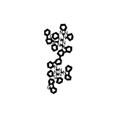 c1ccc([Si](c2ccccc2)(c2ccc3oc4ccccc4c3c2)c2nc(-n3c4ccccc4c4ccccc43)nc(-n3c4ccccc4c4cc(-c5ccc6c(c5)c5ccccc5n6-c5nc(-n6c7ccccc7n7c8ccccc8nc67)nc([Si](c6ccccc6)(c6ccccc6)c6cccc7c6oc6ccccc67)n5)ccc43)n2)cc1